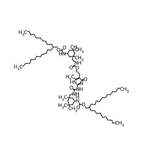 CCCCCCCCCCCCC(CCCCCCCCCC)COC(=O)NC1CC(C)(C)CC(C)(CNC(=O)Nc2nc(=O)c(CCOC(=O)NCC3(C)CC(NC(=O)OCC(CCCCCCCCCC)CCCCCCCCCCCC)CC(C)(C)C3)c(C)[nH]2)C1